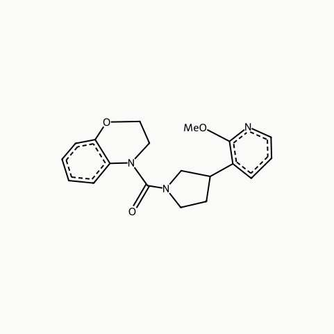 COc1ncccc1C1CCN(C(=O)N2CCOc3ccccc32)C1